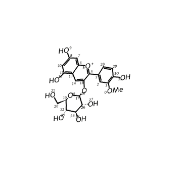 COc1cc(-c2[o+]c3cc(O)cc(O)c3cc2O[C@@H]2O[C@H](CO)[C@@H](O)[C@H](O)[C@H]2O)ccc1O